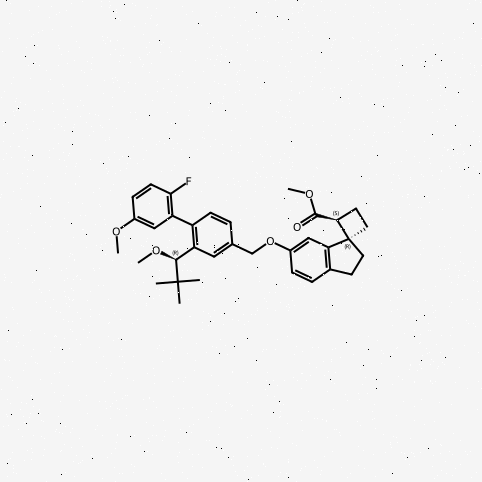 COC(=O)[C@H]1CC[C@@]12CCc1ccc(OCc3ccc(-c4cc(OC)ccc4F)c([C@H](OC)C(C)(C)C)c3)cc12